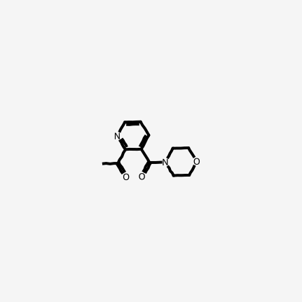 CC(=O)c1ncccc1C(=O)N1CCOCC1